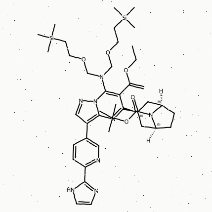 C=C(OCC)c1c([C@H]2C[C@H]3CC[C@@H](C2)N3C(=O)OC(C)(C)C)nc2c(-c3ccc(-c4ncc[nH]4)nc3)cnn2c1N(COCC[Si](C)(C)C)COCC[Si](C)(C)C